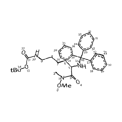 CON(C)C(=O)C(CCCCNC(=O)OC(C)(C)C)NC(c1ccccc1)(c1ccccc1)c1ccccc1